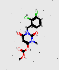 COC(=O)Oc1cc(=O)n(Cc2cccc(Cl)c2Cl)c(=O)n1C